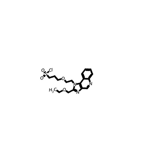 CCOCc1nc2cnc3ccccc3c2n1CCOCCCS(=O)(=O)Cl